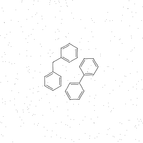 c1ccc(-c2ccccc2)cc1.c1ccc(Cc2ccccc2)cc1